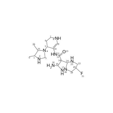 CC1NCN(C2CCNC=C2NC(=O)C2C(N)NN3CC(F)CNC23)C1C